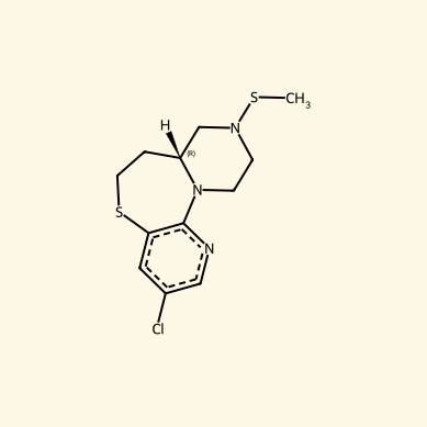 CSN1CCN2c3ncc(Cl)cc3SCC[C@@H]2C1